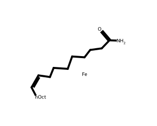 CCCCCCCC/C=C\CCCCCCCC(N)=O.[Fe]